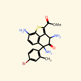 COC(=O)c1sc2c(N)ccc3c2c1C(N)C(=O)C3(N)c1ccc(Br)cc1C